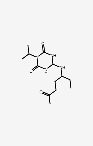 CCC(CCC(C)=O)NC1NC(=O)N(C(C)C)C(=O)N1